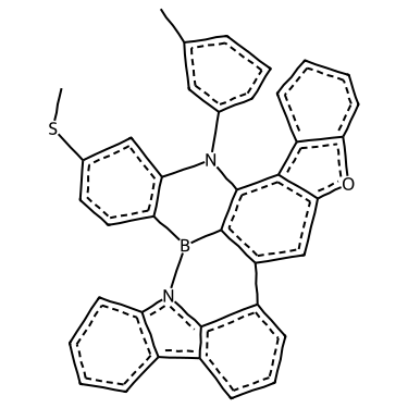 CSc1ccc2c(c1)N(c1cccc(C)c1)c1c3c(cc4oc5ccccc5c14)-c1cccc4c5ccccc5n(c14)B23